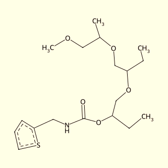 CCC(COC(C)COC)OCC(CC)OC(=O)NCc1cccs1